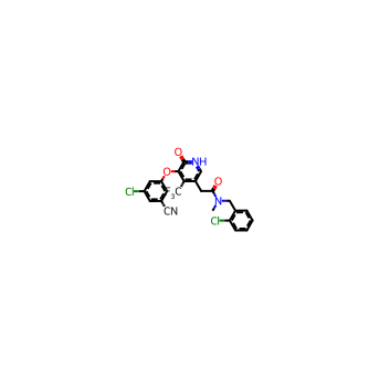 CN(Cc1ccccc1Cl)C(=O)Cc1c[nH]c(=O)c(Oc2cc(Cl)cc(C#N)c2)c1C(F)(F)F